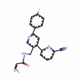 C=CC(=O)NCc1cnc(-c2ccc(F)cc2)cc1-c1cccc(C#N)n1